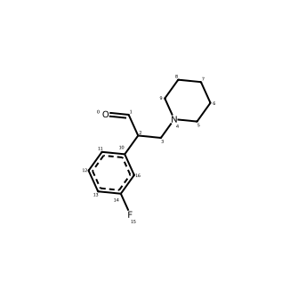 O=CC(CN1CCCCC1)c1cccc(F)c1